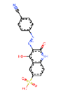 N#Cc1ccc(/N=N/c2c(O)c3cc(S(=O)(=O)O)ccc3[nH]c2=O)cc1